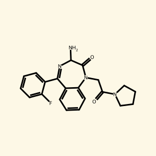 NC1N=C(c2ccccc2F)c2ccccc2N(CC(=O)N2CCCC2)C1=O